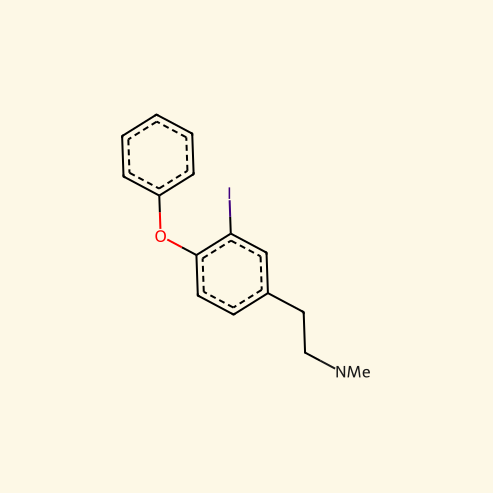 CNCCc1ccc(Oc2ccccc2)c(I)c1